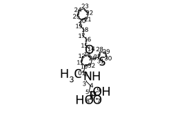 CC(NCCCP(=O)(O)O)c1ccc(OCCCCCc2ccccc2)c(-c2cccs2)c1